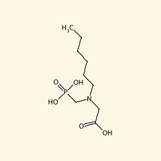 CCCCCCN(CC(=O)O)CP(=O)(O)O